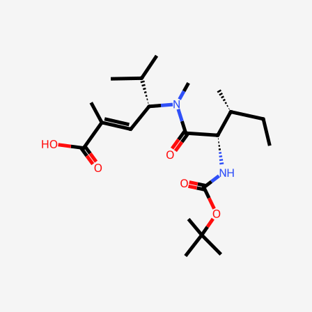 CC[C@@H](C)[C@H](NC(=O)OC(C)(C)C)C(=O)N(C)[C@H](C=C(C)C(=O)O)C(C)C